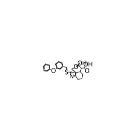 O=C(O)C(C(=O)O)C1CCCc2nc(SCc3cccc(Oc4ccccc4)c3)sc21